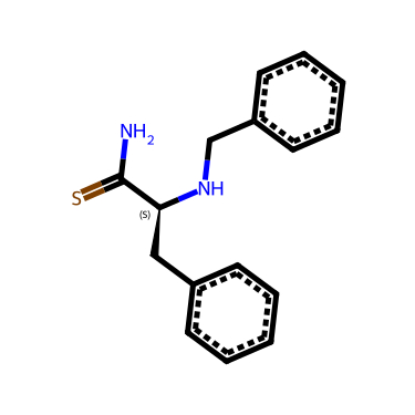 NC(=S)[C@H](Cc1ccccc1)NCc1ccccc1